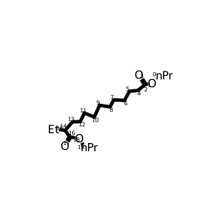 CCCOC(=O)CCCCCCCCCCC(CC)C(=O)OCCC